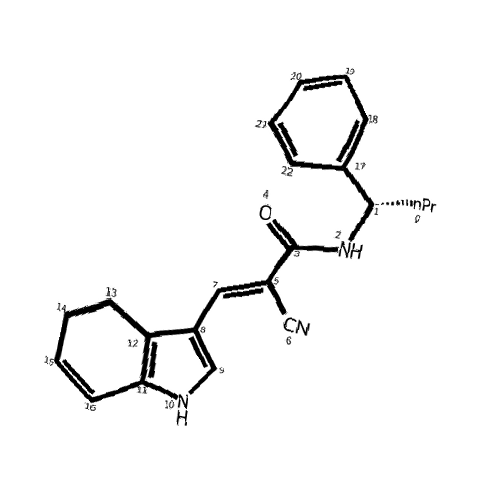 CCC[C@H](NC(=O)/C(C#N)=C/c1c[nH]c2c1CCC=C2)c1ccccc1